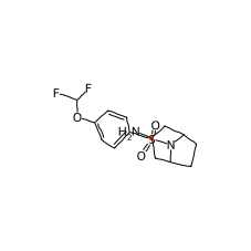 NC1CC2CCC(C1)N2S(=O)(=O)c1ccc(OC(F)F)cc1